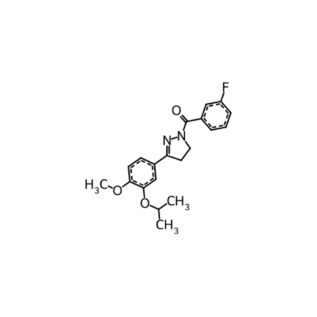 COc1ccc(C2=NN(C(=O)c3cccc(F)c3)CC2)cc1OC(C)C